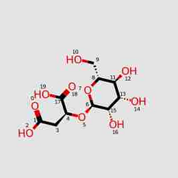 O=C(O)C[C@H](O[C@H]1O[C@H](CO)[C@@H](O)[C@H](O)[C@@H]1O)C(=O)O